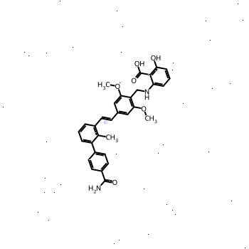 COc1cc(/C=C/c2cccc(-c3ccc(C(N)=O)cc3)c2C)cc(OC)c1CNc1cccc(O)c1C(=O)O